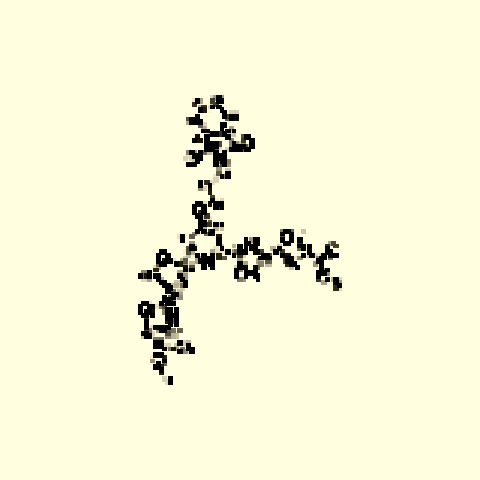 COC(=O)c1coc(-c2coc(-c3cc(OCCCN4C(=O)c5ccccc5C4=O)cc(-c4nc(-c5nc(C(=O)OC)co5)co4)n3)n2)n1